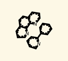 c1ccc(-c2ccccn2)cc1.c1cnc2c(c1)ccc1cccnc12